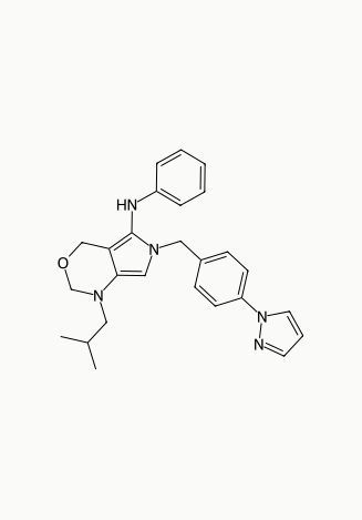 CC(C)CN1COCc2c1cn(Cc1ccc(-n3cccn3)cc1)c2Nc1ccccc1